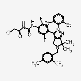 CCc1cccc(CC)c1-n1nc2c(c1-c1cc(F)c(NC(=O)NC(=O)CCl)cc1F)CN(Cc1ccc(C(F)(F)F)cc1C(F)(F)F)C2(C)C